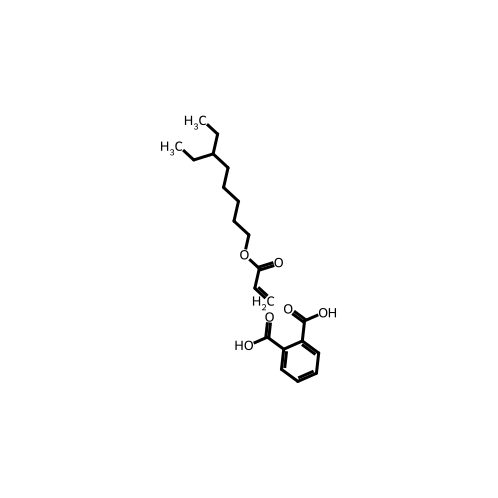 C=CC(=O)OCCCCCC(CC)CC.O=C(O)c1ccccc1C(=O)O